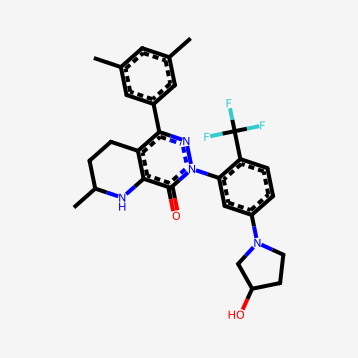 Cc1cc(C)cc(-c2nn(-c3cc(N4CCC(O)C4)ccc3C(F)(F)F)c(=O)c3c2CCC(C)N3)c1